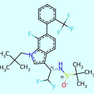 CC(C)(C)Cn1cc([C@H](N[S@@+]([O-])C(C)(C)C)C(F)F)c2ccc(-c3ccccc3C(F)(F)F)c(F)c21